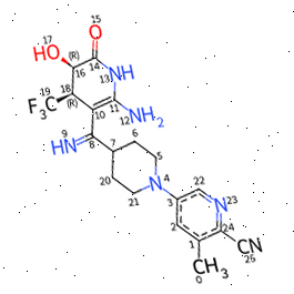 Cc1cc(N2CCC(C(=N)C3=C(N)NC(=O)[C@H](O)[C@@H]3C(F)(F)F)CC2)cnc1C#N